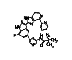 CC(C)(C)C(=O)Nc1cncc(-c2cc(F)c3[nH]nc(-c4nc5c(-c6ccccn6)nccc5[nH]4)c3c2)c1